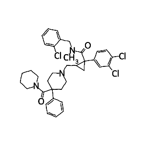 CN(Cc1ccccc1Cl)C(=O)C1(c2ccc(Cl)c(Cl)c2)CC1CN1CCC(C(=O)N2CCCCC2)(c2ccccc2)CC1